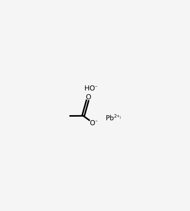 CC(=O)[O-].[OH-].[Pb+2]